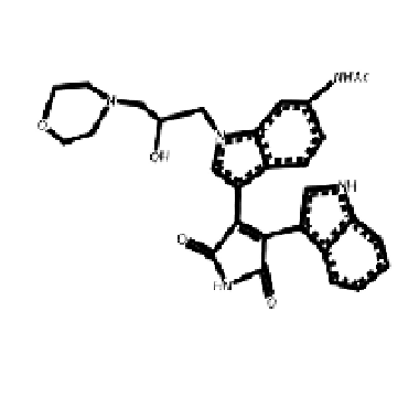 CC(=O)Nc1ccc2c(C3=C(c4c[nH]c5ccccc45)C(=O)NC3=O)cn(CC(O)CN3CCOCC3)c2c1